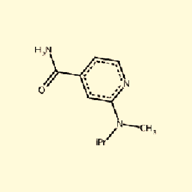 CC(C)N(C)c1cc(C(N)=O)ccn1